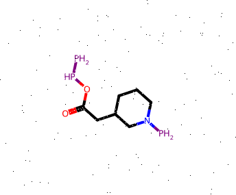 O=C(CC1CCCN(P)C1)OPP